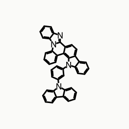 c1cc(-n2c3ccccc3c3ccccc32)cc(-n2c3ccccc3c3ccc4c(c5ccccc5n5c6ccccc6nc45)c32)c1